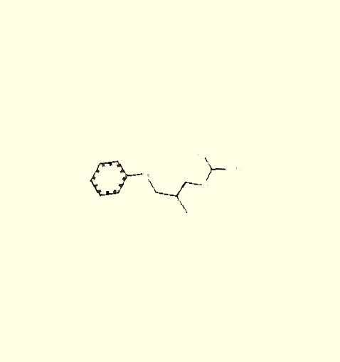 COC(OC)[SiH2]CC(C)CNc1ccccc1